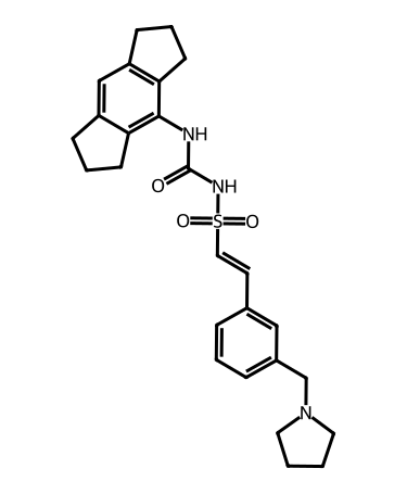 O=C(Nc1c2c(cc3c1CCC3)CCC2)NS(=O)(=O)/C=C/c1cccc(CN2CCCC2)c1